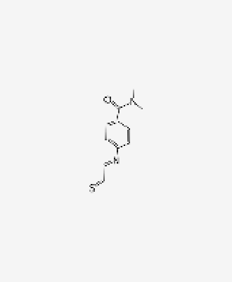 CN(C)C(=O)c1ccc(N=CC=S)cc1